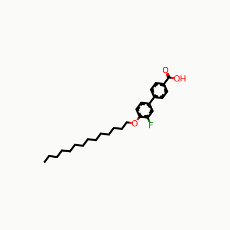 CCCCCCCCCCCCCCOc1ccc(-c2ccc(C(=O)O)cc2)cc1F